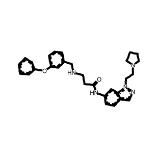 O=C(CCNCc1cccc(Oc2ccccc2)c1)Nc1ccc2cnn(CCN3CCCC3)c2c1